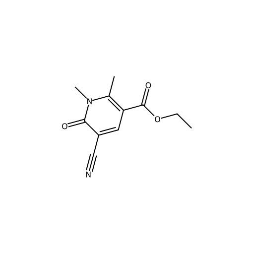 CCOC(=O)c1cc(C#N)c(=O)n(C)c1C